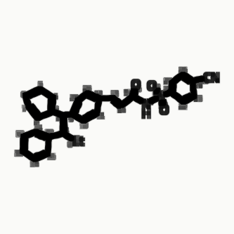 CCC(=C(c1ccccc1)c1ccc(C=CC(=O)NS(=O)(=O)c2ccc(C#N)cc2)cc1)c1ccccc1